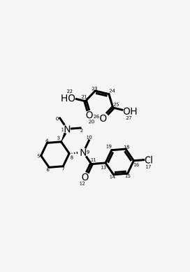 CN(C)[C@@H]1CCCC[C@H]1N(C)C(=O)c1ccc(Cl)cc1.O=C(O)/C=C\C(=O)O